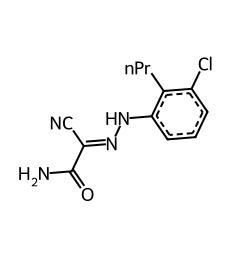 CCCc1c(Cl)cccc1N/N=C(\C#N)C(N)=O